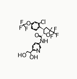 C[C@]1(C(F)(F)F)C[C@H](c2ccc(OC(F)(F)F)cc2Cl)[C@@H](C(=O)Nc2ccc([C@@H](O)CO)nc2)O1